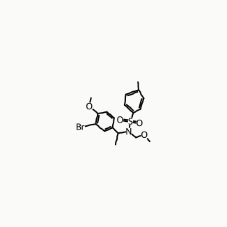 COCN(C(C)c1ccc(OC)c(Br)c1)S(=O)(=O)c1ccc(C)cc1